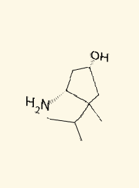 CC(C)C1(C)C[C@@H](O)C[C@H]1N